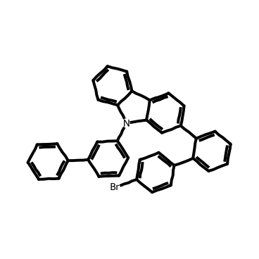 Brc1ccc(-c2ccccc2-c2ccc3c4ccccc4n(-c4cccc(-c5ccccc5)c4)c3c2)cc1